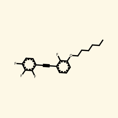 CCCCCCOc1cccc(C#Cc2ccc(F)c(F)c2F)c1F